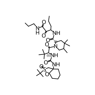 CCCNC(=O)C(=O)C(CCC)NC(=O)[C@@H]1CC(C)(C)C(C)CN1C(=O)[C@@H](NC(=O)NC1(CS(=O)(=O)C(C)(C)C)CCCCC1)C(C)(C)C